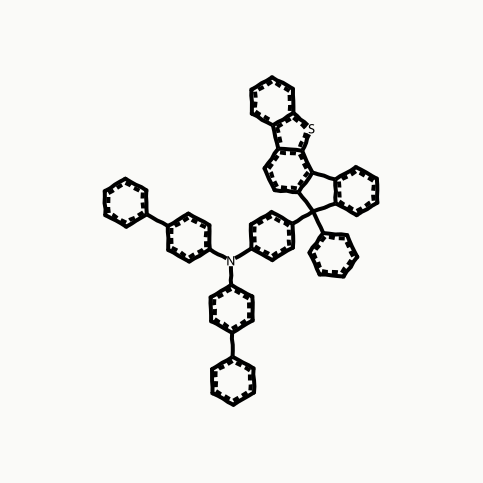 c1ccc(-c2ccc(N(c3ccc(-c4ccccc4)cc3)c3ccc(C4(c5ccccc5)c5ccccc5-c5c4ccc4c5sc5ccccc54)cc3)cc2)cc1